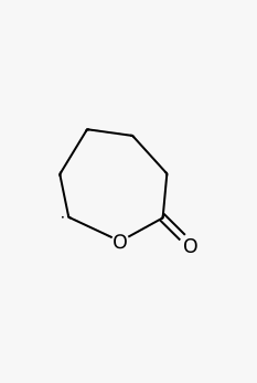 O=C1CCCC[CH]O1